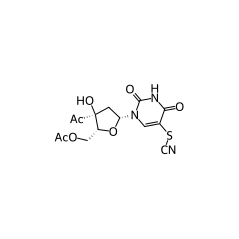 CC(=O)OC[C@H]1O[C@@H](n2cc(SC#N)c(=O)[nH]c2=O)C[C@@]1(O)C(C)=O